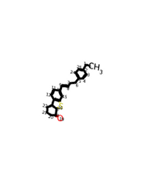 CCc1ccc(CCC=Cc2ccc3c(c2)SC2C(=O)CCCC32)cc1